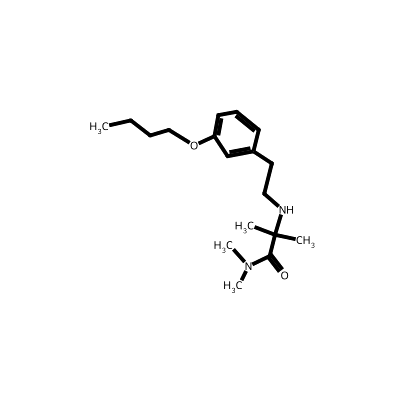 CCCCOc1cccc(CCNC(C)(C)C(=O)N(C)C)c1